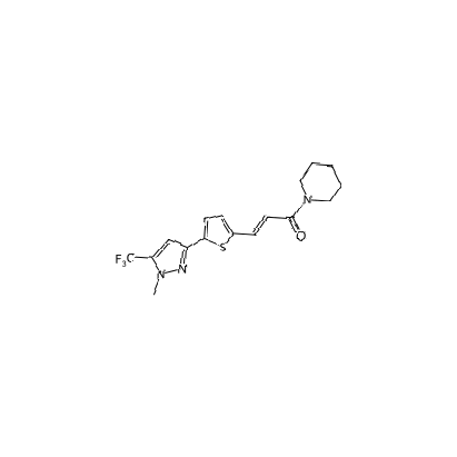 Cn1nc(-c2ccc(/C=C/C(=O)N3CCCCC3)s2)cc1C(F)(F)F